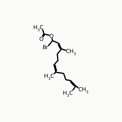 CC(=O)OC(Br)C=C(C)CCC=C(C)CCC=C(C)C